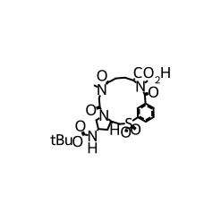 CN1CC(=O)N2C[C@H](NC(=O)OC(C)(C)C)C[C@H]2CS(=O)(=O)c2cccc(c2)C(=O)N(C)[C@H](C(=O)O)CCC1=O